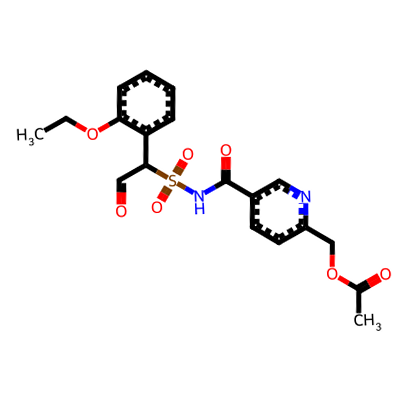 CCOc1ccccc1C(C=O)S(=O)(=O)NC(=O)c1ccc(COC(C)=O)nc1